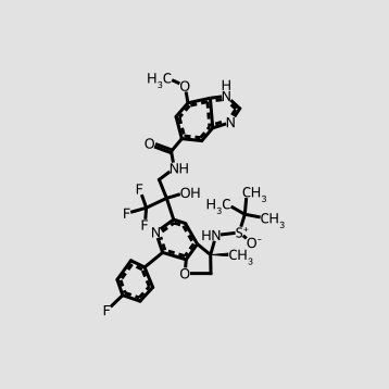 COc1cc(C(=O)NCC(O)(c2cc3c(c(-c4ccc(F)cc4)n2)OC[C@@]3(C)N[S+]([O-])C(C)(C)C)C(F)(F)F)cc2nc[nH]c12